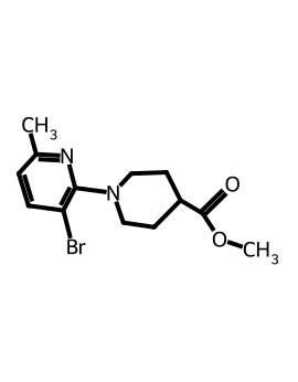 COC(=O)C1CCN(c2nc(C)ccc2Br)CC1